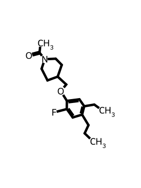 CCCc1cc(F)c(OCC2CCN(C(C)=O)CC2)cc1CC